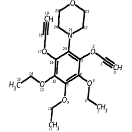 C#COc1c(OCC)c(OCC)c(OCC)c(OC#C)c1N1CCOCC1